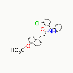 O=C(O)COc1cccc2c(CCC(=O)NC(c3ccccc3)c3cccc(Cl)c3)cccc12